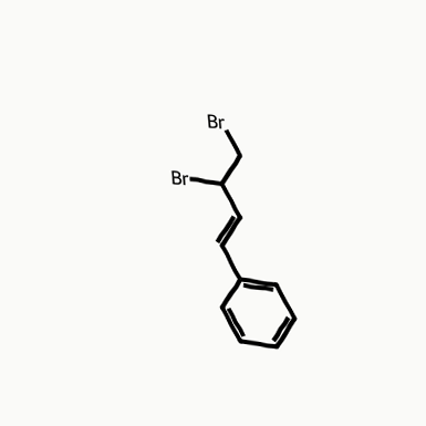 BrCC(Br)C=Cc1ccccc1